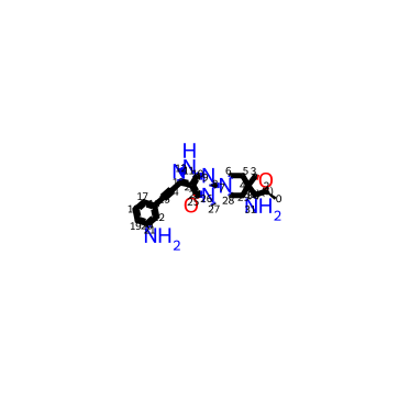 C[C@@H]1OCC2(CCN(c3nc4[nH]nc(C#Cc5cccc(N)c5)c4c(=O)n3C)CC2)[C@@H]1N